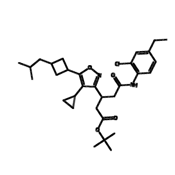 CCc1ccc(NC(=O)CC(CC(=O)OC(C)(C)C)c2noc(C3CC(CC(C)C)C3)c2C2CC2)c(Cl)c1